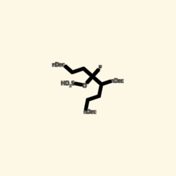 CCCCCCCCCCCCC(CCCCCCCCCC)C(F)(CCCCCCCCCCCC)OS(=O)(=O)O